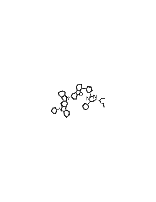 C=C/C=C(\C=C)c1cc(-c2ccccc2)nc(-c2cccc(-c3cccc4c3oc3ccc(-n5c6ccccc6c6cc7c(cc65)c5ccccc5n7-c5ccccc5)cc34)c2)n1